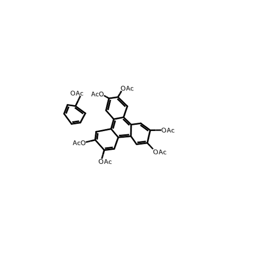 CC(=O)Oc1cc2c3cc(OC(C)=O)c(OC(C)=O)cc3c3cc(OC(C)=O)c(OC(C)=O)cc3c2cc1OC(C)=O.CC(=O)Oc1ccccc1